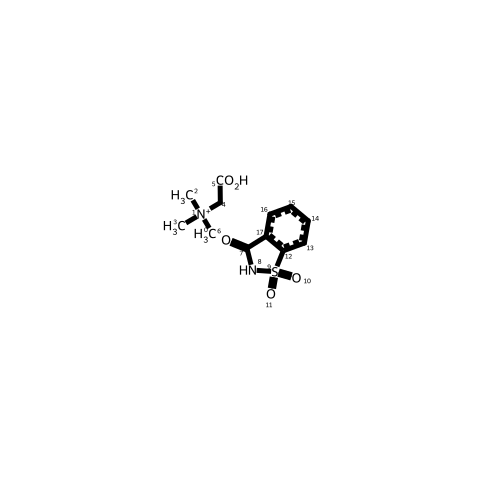 C[N+](C)(C)CC(=O)O.O=C1NS(=O)(=O)c2ccccc21